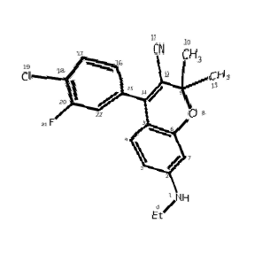 CCNc1ccc2c(c1)OC(C)(C)C(C#N)=C2c1ccc(Cl)c(F)c1